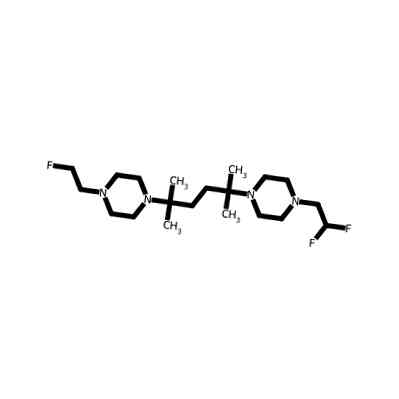 CC(C)(CCC(C)(C)N1CCN(CC(F)F)CC1)N1CCN(CCF)CC1